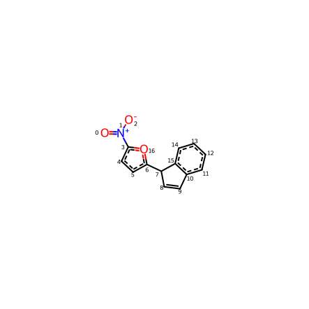 O=[N+]([O-])c1ccc(C2C=Cc3ccccc32)o1